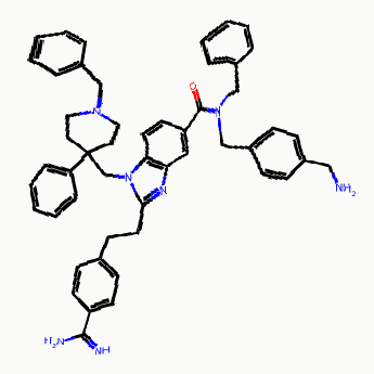 N=C(N)c1ccc(CCc2nc3cc(C(=O)N(Cc4ccccc4)Cc4ccc(CN)cc4)ccc3n2CC2(c3ccccc3)CCN(Cc3ccccc3)CC2)cc1